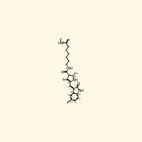 C=C(CCCCCCNC(=O)C1C(C)=C(/C=C2\C(=O)Nc3ccc(F)cc32)NC1C)NC